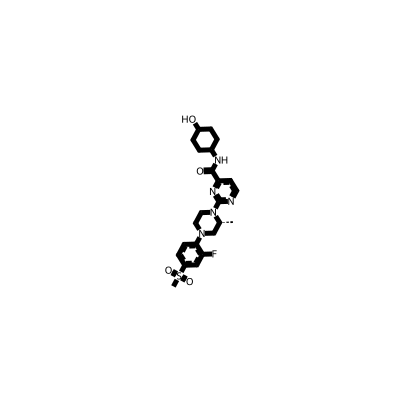 C[C@@H]1CN(c2ccc(S(C)(=O)=O)cc2F)CCN1c1nccc(C(=O)NC2CCC(O)CC2)n1